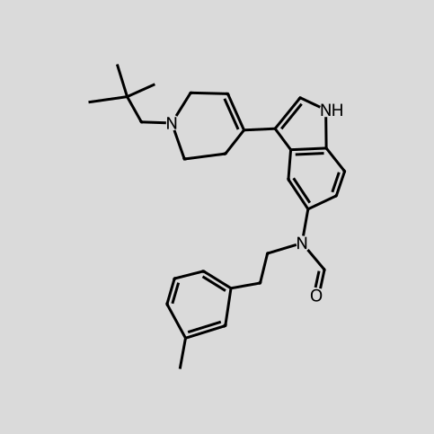 Cc1cccc(CCN(C=O)c2ccc3[nH]cc(C4=CCN(CC(C)(C)C)CC4)c3c2)c1